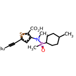 CC1CCC(P(C)(=O)N(C)c2cc(C#CC(C)(C)C)sc2C(=O)O)CC1